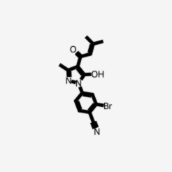 CC(C)=CC(=O)c1c(C)nn(-c2ccc(C#N)c(Br)c2)c1O